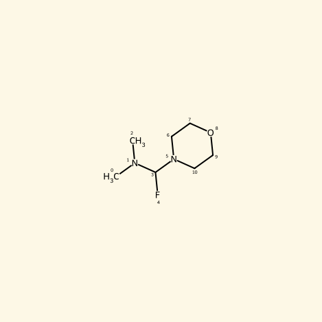 CN(C)C(F)N1CCOCC1